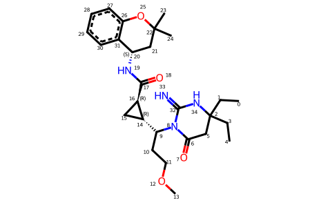 CCC1(CC)CC(=O)N(C(CCOC)[C@@H]2C[C@H]2C(=O)N[C@H]2CC(C)(C)Oc3ccccc32)C(=N)N1